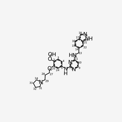 OOc1ccc(Nc2nccc(NCc3ccc4cn[nH]c4c3)n2)cc1OCCCN1CCCC1